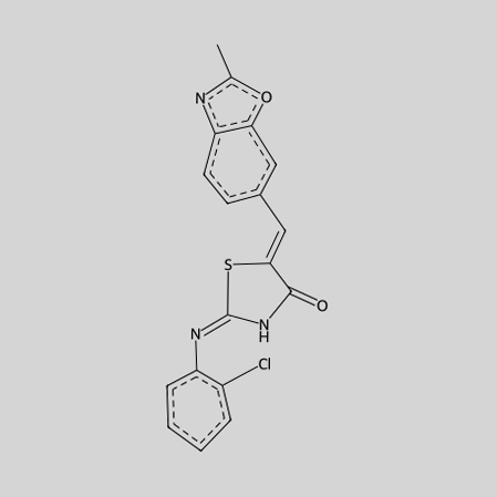 Cc1nc2ccc(/C=C3\S/C(=N/c4ccccc4Cl)NC3=O)cc2o1